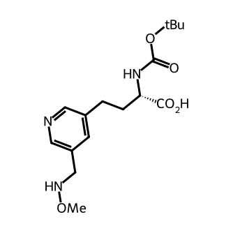 CONCc1cncc(CC[C@H](NC(=O)OC(C)(C)C)C(=O)O)c1